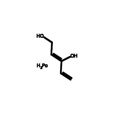 C=CC(O)=CCO.[PoH2]